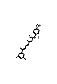 CC(/C=C/C=C(\C)c1cc(C)cc(C)c1)=C\C(=O)Nc1ccc(O)cc1